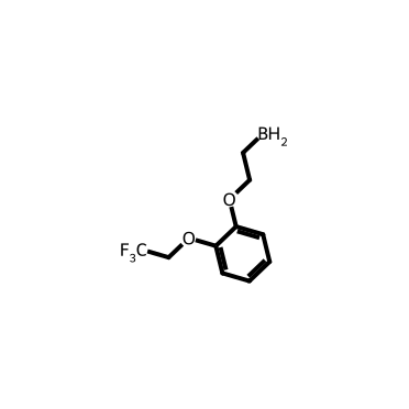 BCCOc1ccccc1OCC(F)(F)F